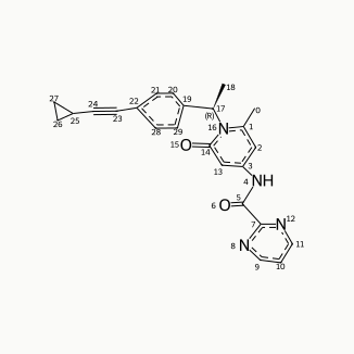 Cc1cc(NC(=O)c2ncccn2)cc(=O)n1[C@H](C)c1ccc(C#CC2CC2)cc1